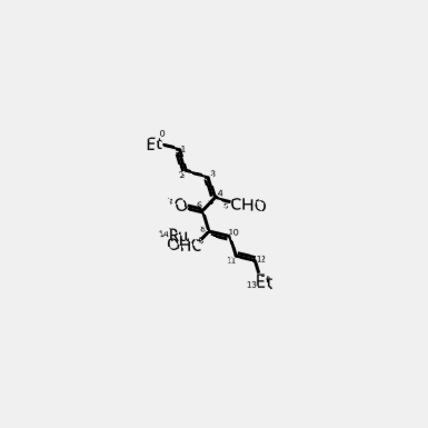 CCC=CC=C(C=O)C(=O)C(C=O)=CC=CCC.[Ru]